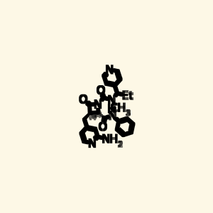 CCC(NC(=O)N1C(=O)[C@H](Cc2ccnc(N)c2)[C@H]1C(=O)N(C)c1ccccc1)c1ccncc1